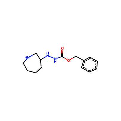 O=C(NNC1CCCCNC1)OCc1ccccc1